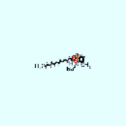 CCCCCCCCCCCCCCOS(=O)(=O)c1cccc(C)c1C.[Na]